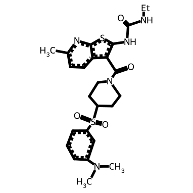 CCNC(=O)Nc1sc2nc(C)ccc2c1C(=O)N1CCC(S(=O)(=O)c2cccc(N(C)C)c2)CC1